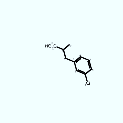 CC(Cc1cccc(Cl)c1)C(=O)O